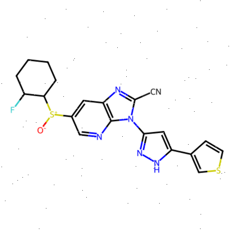 N#Cc1nc2cc([S+]([O-])C3CCCCC3F)cnc2n1-c1cc(-c2ccsc2)[nH]n1